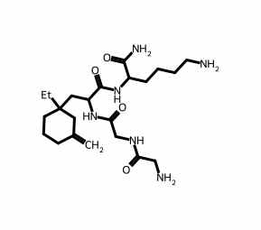 C=C1CCCC(CC)(CC(NC(=O)CNC(=O)CN)C(=O)NC(CCCCN)C(N)=O)C1